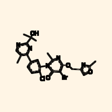 Cc1nc(COc2nc(C)n(-c3cc(-c4nc(C(C)(C)O)ncc4C)ccc3Cl)c(=O)c2Br)co1